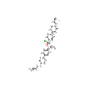 C=CCCC1CCC(c2ccc(C(C)OC(F)(F)c3ccc(C4CCC(/C=C/C)CC4)cc3)cc2)CC1